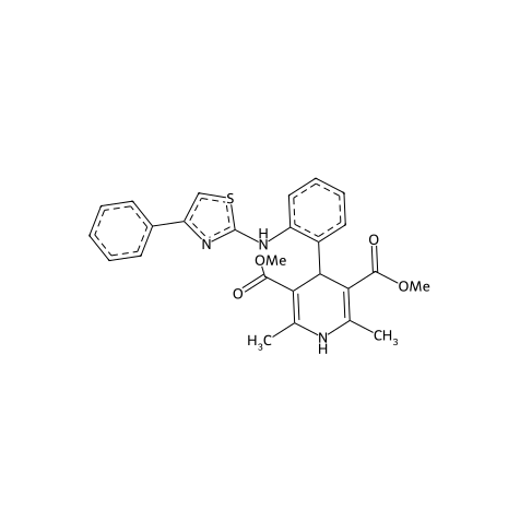 COC(=O)C1=C(C)NC(C)=C(C(=O)OC)C1c1ccccc1Nc1nc(-c2ccccc2)cs1